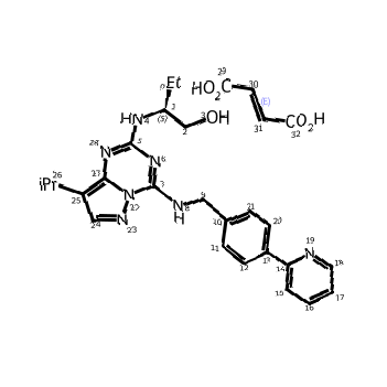 CC[C@@H](CO)Nc1nc(NCc2ccc(-c3ccccn3)cc2)n2ncc(C(C)C)c2n1.O=C(O)/C=C/C(=O)O